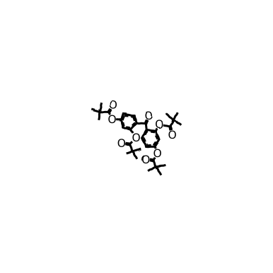 CC(C)(C)C(=O)Oc1ccc(C(=O)c2ccc(OC(=O)C(C)(C)C)cc2OC(=O)C(C)(C)C)c(OC(=O)C(C)(C)C)c1